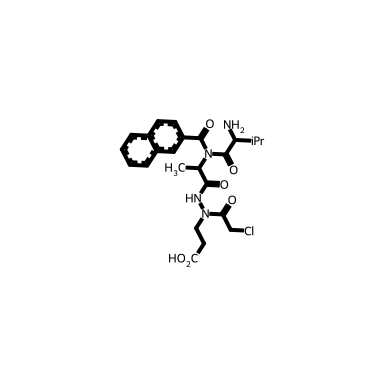 CC(C)C(N)C(=O)N(C(=O)c1ccc2ccccc2c1)C(C)C(=O)NN(CCC(=O)O)C(=O)CCl